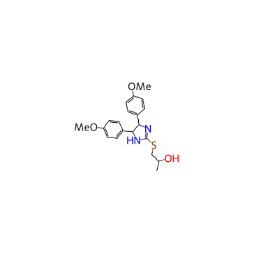 COc1ccc(C2N=C(SCC(C)O)NC2c2ccc(OC)cc2)cc1